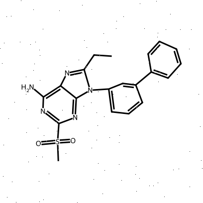 CCc1nc2c(N)nc(S(C)(=O)=O)nc2n1-c1cccc(-c2ccccc2)c1